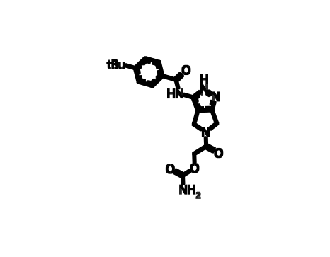 CC(C)(C)c1ccc(C(=O)Nc2[nH]nc3c2CN(C(=O)COC(N)=O)C3)cc1